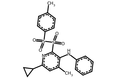 Cc1ccc(S(=O)(=O)S(=O)(=O)c2nc(C3CC3)cc(C)c2Nc2ccccc2)cc1